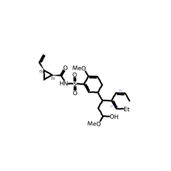 C=C[C@@H]1C[C@@H]1C(=O)NS(=O)(=O)C1=CC(C(CC(O)OC)C(/C=C\C)=C/CC)CC=C1OC